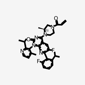 C=CC(=O)N1CCN(c2nc(=O)n(-c3c(C)ccnc3C(C)C)c3nc(-c4c(F)cccc4C(C)C)c(F)cc23)[C@@H](C)C1